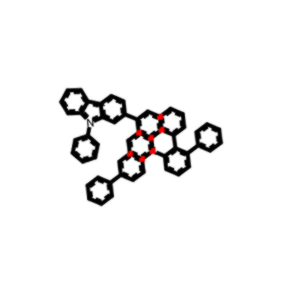 c1ccc(-c2ccc(N(c3cccc(-c4ccc5c6ccccc6n(-c6ccccc6)c5c4)c3)c3cccc(-c4ccccc4)c3-c3ccccc3-c3ccccc3)cc2)cc1